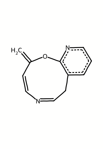 C=C1/C=C\N=C/Cc2cccnc2O1